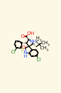 CC(C)(C)C[C@H]1N[C@H](C(=O)O)[C@@H](c2cccc(Cl)c2F)C12C(=O)Nc1cc(Cl)ccc12